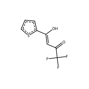 O=C(C=C(O)c1cccs1)C(F)(F)F